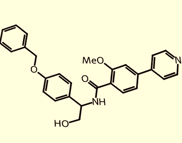 COc1cc(-c2ccncc2)ccc1C(=O)NC(CO)c1ccc(OCc2ccccc2)cc1